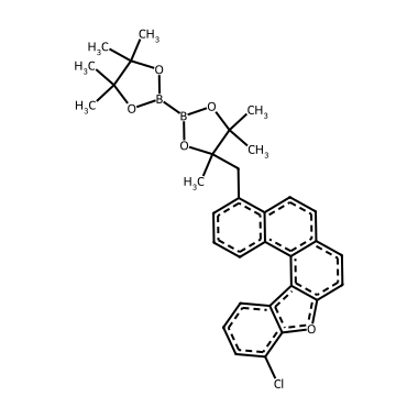 CC1(C)OB(B2OC(C)(C)C(C)(Cc3cccc4c3ccc3ccc5oc6c(Cl)cccc6c5c34)O2)OC1(C)C